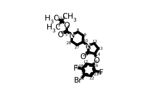 CC(C)(C)OC(=O)N1CCC(N2CCC(Oc3cc(F)c(Br)cc3F)C2=O)CC1